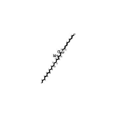 CCCCCCCCCCCCCCCCCC(=O)OCCCCCCCCCC.N